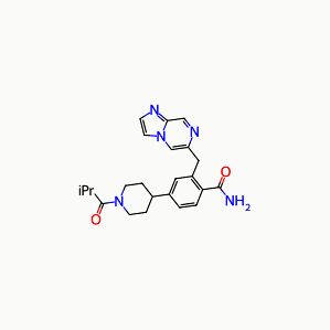 CC(C)C(=O)N1CCC(c2ccc(C(N)=O)c(Cc3cn4ccnc4cn3)c2)CC1